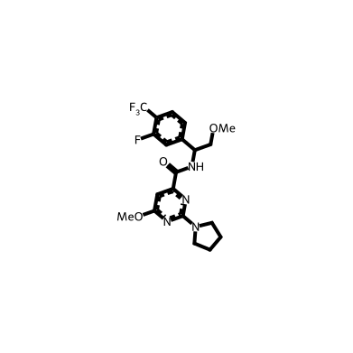 COCC(NC(=O)c1cc(OC)nc(N2CCCC2)n1)c1ccc(C(F)(F)F)c(F)c1